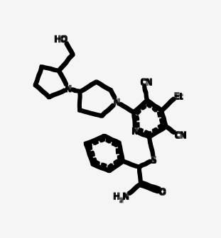 CCc1c(C#N)c(SC(C(N)=O)c2ccccc2)nc(N2CCC(N3CCCC3CO)CC2)c1C#N